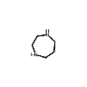 [CH]1CNCCNC1